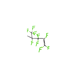 CC(F)(C(F)(F)F)C(F)(F)C(F)=C(F)F